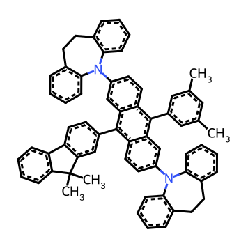 Cc1cc(C)cc(-c2c3ccc(N4c5ccccc5CCc5ccccc54)cc3c(-c3ccc4c(c3)C(C)(C)c3ccccc3-4)c3ccc(N4c5ccccc5CCc5ccccc54)cc23)c1